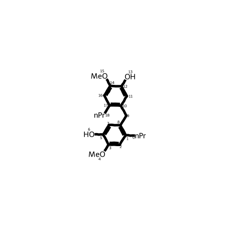 CCCc1cc(OC)c(O)cc1Cc1cc(O)c(OC)cc1CCC